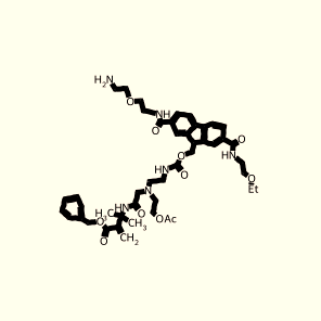 C=C(C(=O)OCc1ccccc1)C(C)(C)NC(=O)CN(CCNC(=O)OCC1c2cc(C(=O)NCCOCC)ccc2-c2ccc(C(=O)NCCOCCN)cc21)CCOC(C)=O